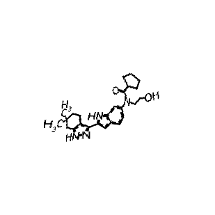 CC1(C)CCc2c(-c3cc4ccc(N(CCO)C(=O)C5CCCC5)cc4[nH]3)n[nH]c2C1